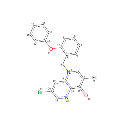 [CH2]Cc1cn(Cc2ccccc2Oc2ccccc2)c2cc(Br)cnc2c1=O